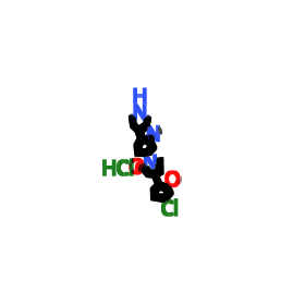 COc1cc(Cl)ccc1-c1ccn(-c2ccc3c4c(n(C)c3c2)CNCC4)c(=O)c1.Cl